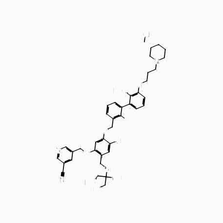 Cc1c(COc2cc(OCc3cncc(C#N)c3)c(CNC(C)(CO)CO)cc2Cl)cccc1-c1cccc(OCCCN2CCC[C@@H](CO)C2)c1C